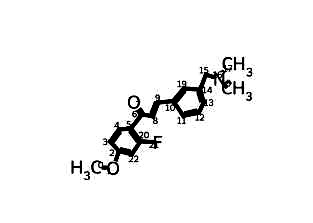 COc1ccc(C(=O)C=Cc2cccc(CN(C)C)c2)c(F)c1